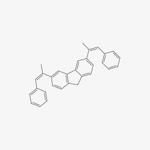 C/C(=C/c1ccccc1)c1ccc2c(c1)-c1cc(/C(C)=C\c3ccccc3)ccc1C2